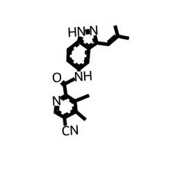 CC(C)=Cc1n[nH]c2ccc(NC(=O)c3ncc(C#N)c(C)c3C)cc12